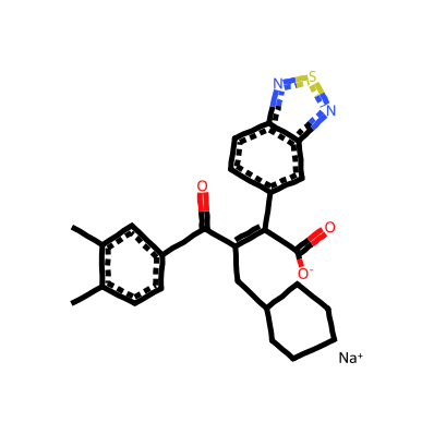 Cc1ccc(C(=O)C(CC2CCCCC2)=C(C(=O)[O-])c2ccc3nsnc3c2)cc1C.[Na+]